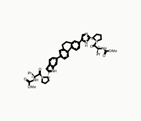 COC(=O)N[C@H](C(=O)N1CCC[C@H]1c1cc2ccc(-c3ccc4c(c3)CCc3cc(-c5cnc([C@@H]6CCCN6C(=O)[C@@H](NC(=O)OC)C(C)C)[nH]5)ccc3-4)cc2[nH]1)C(C)C